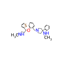 CCNC1(c2ccccc2)CCN(Cc2ccccc2OC(CCNC)c2cccs2)CC1